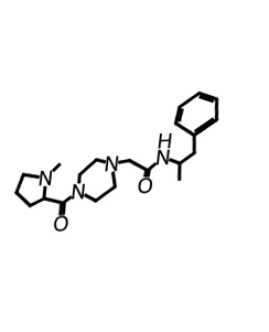 CC(Cc1ccccc1)NC(=O)CN1CCN(C(=O)C2CCCN2C)CC1